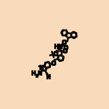 Cn1c(N)c(C#N)c2cc(OCc3cccc(C(=O)[C@H](COC(C)(C)C)NC(=O)OCC4c5ccccc5-c5ccccc54)c3)ccc21